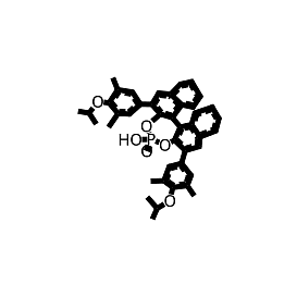 Cc1cc(-c2cc3ccccc3c3c2OP(=O)(O)Oc2c(-c4cc(C)c(OC(C)C)c(C)c4)cc4ccccc4c2-3)cc(C)c1OC(C)C